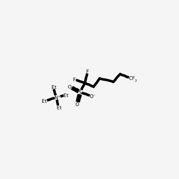 CC[N+](CC)(CC)CC.O=S(=O)([O-])C(F)(F)CCCCC(F)(F)F